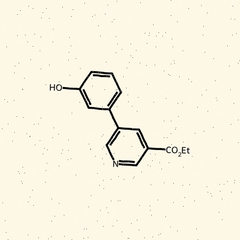 CCOC(=O)c1cncc(-c2cccc(O)c2)c1